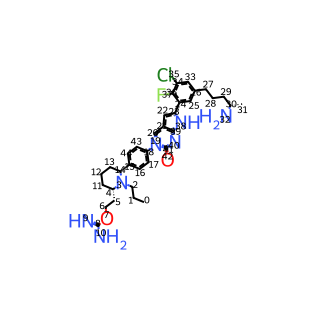 CCCN1[C@H](CCOC(=N)N)CCC[C@H]1c1ccc(-n2cc3cc(-c4cc(CCC[C@H](C)N)cc(Cl)c4F)[nH]c3nc2=O)cc1